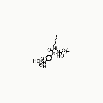 CCCCCNC(=O)[C@H](CNC(=O)OC(C)(C)C)c1ccc(NS(=O)(=O)O)cc1